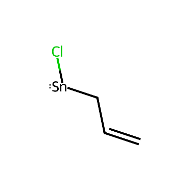 C=C[CH2][Sn][Cl]